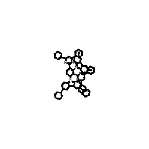 Cc1ccc2c(c1)c1cc(C)ccc1n2-c1c(-c2nc(-c3ccccc3)cc(-c3ccccc3)n2)ccc(-n2c3ccc(-c4ccccc4)cc3c3cc(-c4ccccc4)ccc32)c1-c1nc(-c2ccccc2)cc(-c2ccccc2)n1